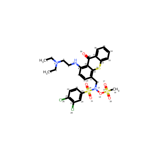 CCN(CC)CCNc1ccc(CN(OS(C)(=O)=O)S(=O)(=O)c2ccc(Cl)c(Cl)c2)c2sc3ccccc3c(=O)c12